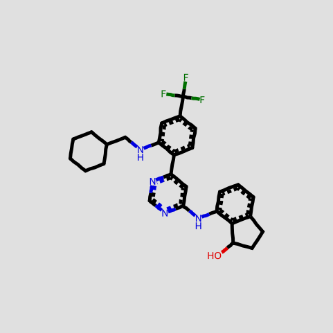 OC1CCc2cccc(Nc3cc(-c4ccc(C(F)(F)F)cc4NCC4CCCCC4)ncn3)c21